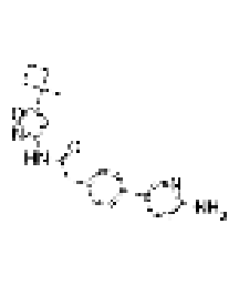 CC1(c2cc(NC(=O)Cc3ccc(-c4ccc(N)nc4)cc3)no2)CCC1